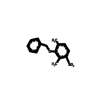 Cc1ccc([N+](=O)[O-])c(C)c1OCc1ccccc1